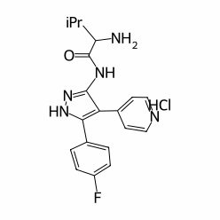 CC(C)C(N)C(=O)Nc1n[nH]c(-c2ccc(F)cc2)c1-c1ccncc1.Cl